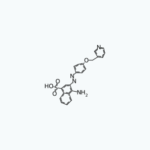 Nc1c(N=Nc2ccc(OCc3cccnc3)cc2)cc(S(=O)(=O)O)c2ccccc12